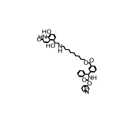 O=C(NC(c1ccccc1)c1cccc(C(=O)OCCCCCCCCCNCC(O)c2ccc(O)c3[nH]c(=O)ccc23)c1)OC1CN2CCC1CC2